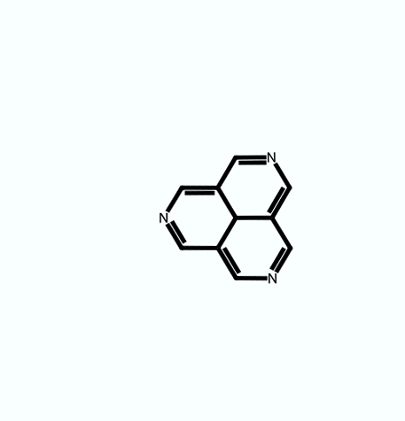 C1=NC=C2C=NC=C3C=NC=C1C23